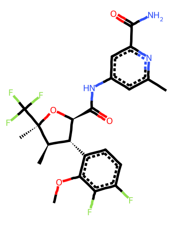 COc1c([C@@H]2[C@@H](C)[C@@](C)(C(F)(F)F)O[C@H]2C(=O)Nc2cc(C)nc(C(N)=O)c2)ccc(F)c1F